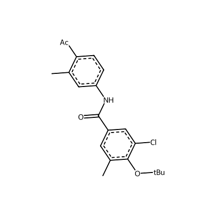 CC(=O)c1ccc(NC(=O)c2cc(C)c(OC(C)(C)C)c(Cl)c2)cc1C